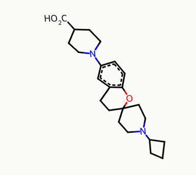 O=C(O)C1CCN(c2ccc3c(c2)CCC2(CCN(C4CCC4)CC2)O3)CC1